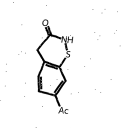 CC(=O)c1ccc2c(c1)SNC(=O)C2